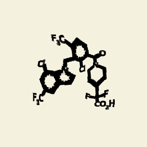 O=C(c1ccc(C(F)(F)F)c(Cn2ccc3cc(C(F)(F)F)cc(Cl)c32)c1Cl)N1CCC(C(F)(F)C(=O)O)CC1